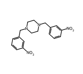 O=[N+]([O-])c1cccc(CN2CCN(Cc3cccc([N+](=O)[O-])c3)CC2)c1